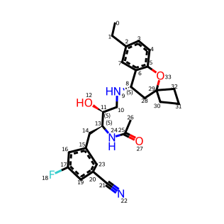 CCc1ccc2c(c1)[C@@H](NC[C@H](O)[C@H](Cc1cc(F)cc(C#N)c1)NC(C)=O)CC1(CCC1)O2